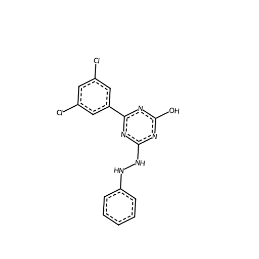 Oc1nc(NNc2ccccc2)nc(-c2cc(Cl)cc(Cl)c2)n1